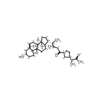 CC(=O)N(C)[C@@H]1CCN(C(=O)CCC(C)[C@H]2CC[C@H]3[C@@H]4CC=C5C[C@@H](O)CC[C@]5(C)[C@H]4CC[C@]23C)C1